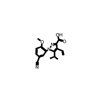 C=Cc1c(C(=O)O)nn(-c2cc(C#N)ccc2OC)c1C(C)C